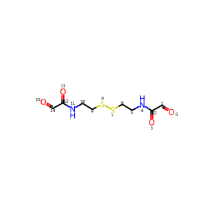 O=CC(=O)NCCSSCCNC(=O)C=O